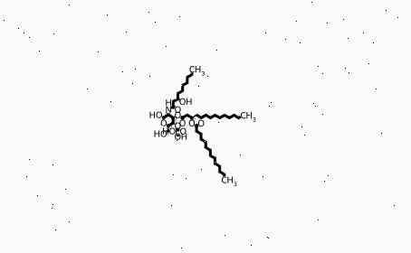 CCCCCCCCCCCCCC(=O)O[C@H](CCCCCCCCCCC)CC(=O)O[C@H]1[C@H](OP(=O)(O)O)[C@@H](CO)OC(O)[C@@H]1NC(=O)C[C@H](O)CCCCCCC